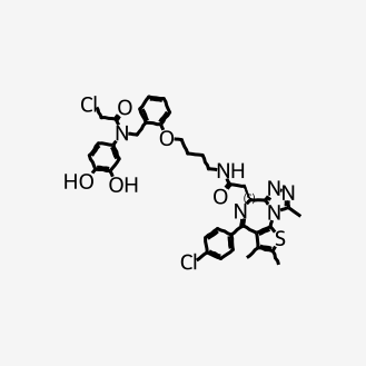 Cc1sc2c(c1C)C(c1ccc(Cl)cc1)=N[C@@H](CC(=O)NCCCCOc1ccccc1CN(C(=O)CCl)c1ccc(O)c(O)c1)c1nnc(C)n1-2